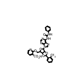 O=C(Nc1ccccc1)Nc1ncnc2c1ncn2C1OC(COc2ncccc2C(=O)O)C2OC(c3ccccc3C(F)(F)F)OC21